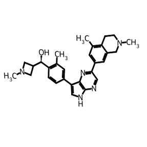 Cc1cc(-c2c[nH]c3ncc(-c4cc(C)c5c(c4)CN(C)CC5)nc23)ccc1[C@H](O)C1CN(C)C1